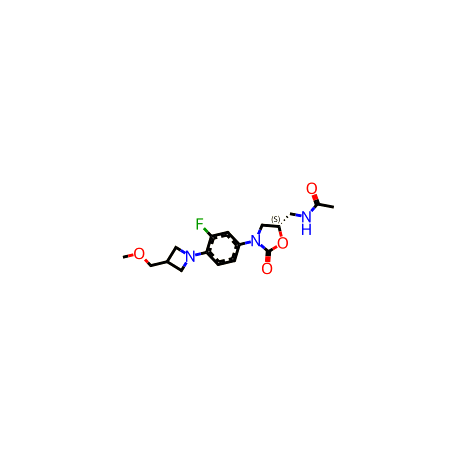 COCC1CN(c2ccc(N3C[C@H](CNC(C)=O)OC3=O)cc2F)C1